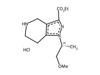 CCOC(=O)c1nn([C@H](C)COC)c2c1CNCC2.Cl